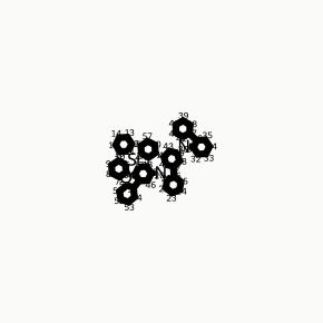 c1ccc([Si](c2ccccc2)(c2ccccc2)c2cc(-n3c4ccccc4c4cc(-n5c6ccccc6c6ccccc65)ccc43)cc3c2oc2ccccc23)cc1